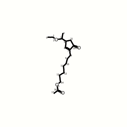 CCOC(C)C1C=C(CCCCCCCOC(C)=O)C(=O)C1